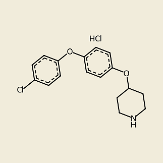 Cl.Clc1ccc(Oc2ccc(OC3CCNCC3)cc2)cc1